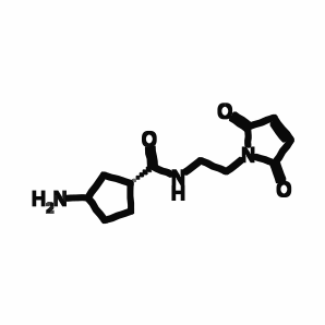 NC1CC[C@@H](C(=O)NCCN2C(=O)C=CC2=O)C1